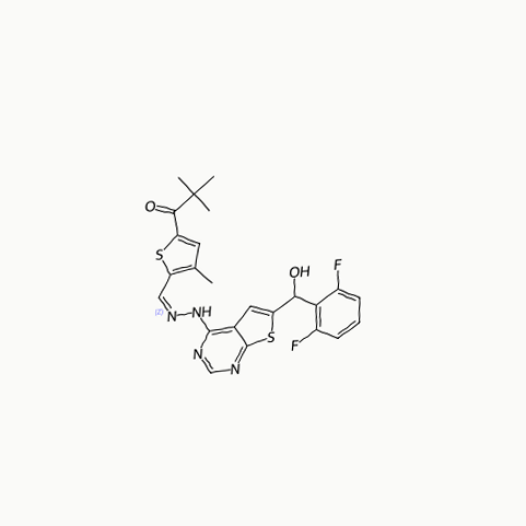 Cc1cc(C(=O)C(C)(C)C)sc1/C=N\Nc1ncnc2sc(C(O)c3c(F)cccc3F)cc12